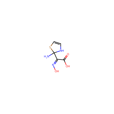 NC1(/C(=N/O)C(=O)O)NC=CS1